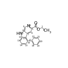 CCOC(=O)c1cc2c(cn1)[nH]c1cccc(-c3ccccc3)c12